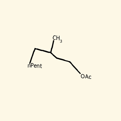 CCCCCCC(C)CCOC(C)=O